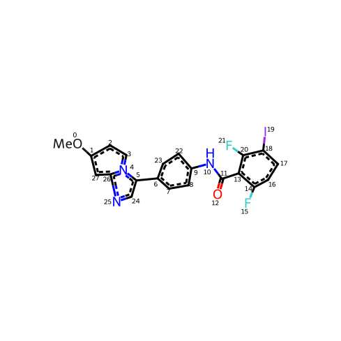 COc1ccn2c(-c3ccc(NC(=O)c4c(F)ccc(I)c4F)cc3)cnc2c1